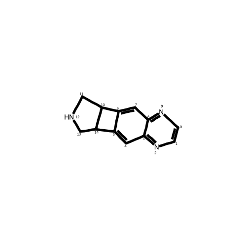 c1cnc2cc3c(cc2n1)C1CNCC31